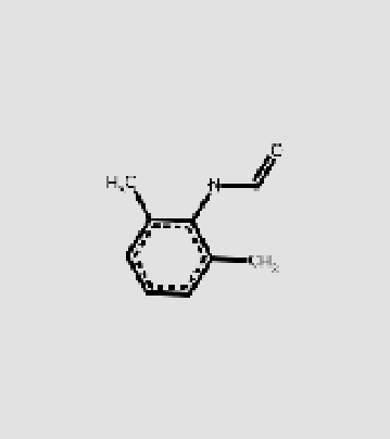 Cc1cccc(C)c1[N]C=O